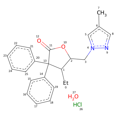 CCC1C(Cn2cc(C)cn2)OC(=O)C1(c1ccccc1)c1ccccc1.Cl.O